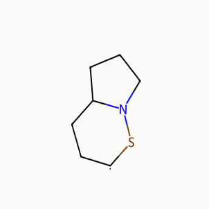 [CH]1CCC2CCCN2S1